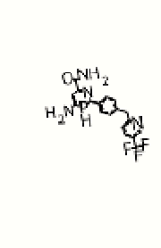 NC(=O)C1=NC(c2ccc(Cc3ccc(C(F)(F)F)cn3)cc2)PC(N)=C1